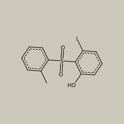 Cc1ccccc1S(=O)(=O)c1c(O)cccc1I